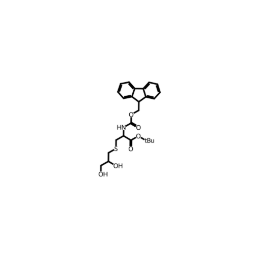 CC(C)(C)OC(=O)C(CSCC(O)CO)NC(=O)OCC1c2ccccc2-c2ccccc21